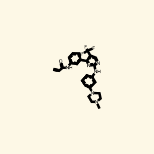 C=CC(=O)Nc1cccc(-c2nc(Nc3cccc(N4CCN(C)CC4)c3)ncc2C(F)(F)F)c1